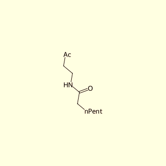 CCCCCCC(=O)NCCC(C)=O